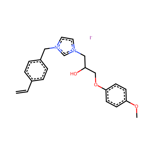 C=Cc1ccc(C[n+]2ccn(CC(O)COc3ccc(OC)cc3)c2)cc1.[I-]